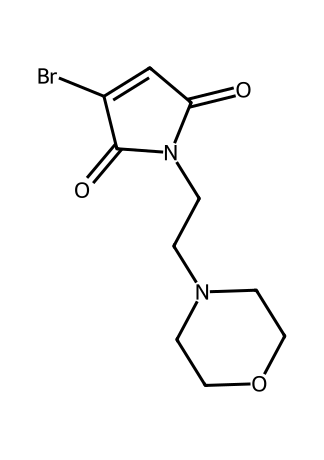 O=C1C=C(Br)C(=O)N1CCN1CCOCC1